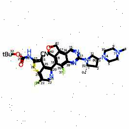 C[C@H]1C[C@@H](N2CCN(C)CC2)CN1c1ncc2c3c(c(-c4ncc(F)c5sc(NC(=O)OC(C)(C)C)c(C#N)c45)c(F)c2n1)COC3